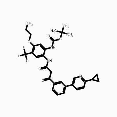 CCCOc1cc(NC(=O)OC(C)(C)C)c(NC(=O)CC(=O)c2cccc(-c3ccc(C4CC4)nc3)c2)cc1C(F)(F)F